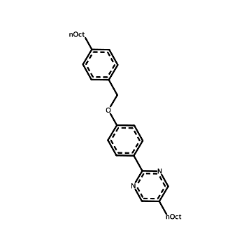 CCCCCCCCc1ccc(COc2ccc(-c3ncc(CCCCCCCC)cn3)cc2)cc1